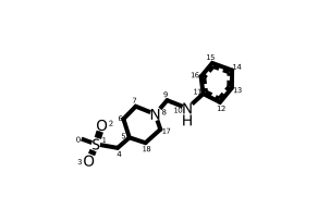 CS(=O)(=O)CC1CCN(CNc2ccccc2)CC1